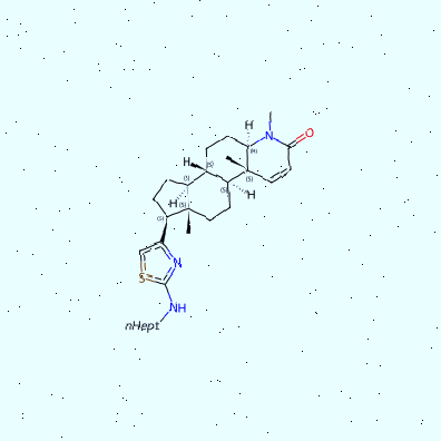 CCCCCCCNc1nc([C@H]2CC[C@H]3[C@@H]4CC[C@H]5N(C)C(=O)C=C[C@]5(C)[C@H]4CC[C@]23C)cs1